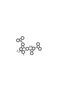 Cc1cc(-c2cc(-n3c4ccccc4c4cc(-n5c6ccccc6c6ccccc65)ccc43)c(C#N)cc2-n2c3ccccc3c3cc(-n4c5ccccc5c5ccccc54)ccc32)cc(C(F)(F)F)c1